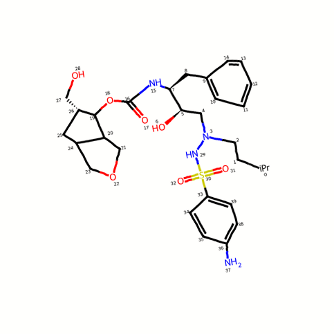 CC(C)CCN(C[C@@H](O)[C@H](Cc1ccccc1)NC(=O)OC1C2COCC2C[C@@H]1CO)NS(=O)(=O)c1ccc(N)cc1